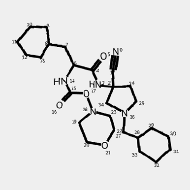 N#CC1(NC(=O)C(CC2CCCCC2)NC(=O)ON2CCOCC2)CCN(CC2CCCCC2)C1